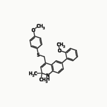 COc1ccc(SCC2=CC(C)(C)Nc3ccc(-c4ccccc4OC)cc32)cc1